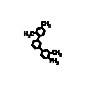 Cc1ccc(-c2cccc(-c3ccc(P)c(C)c3)c2)c(C)c1